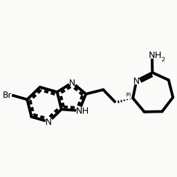 NC1=N[C@@H](CCc2nc3cc(Br)cnc3[nH]2)CCCC1